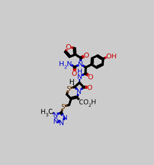 Cn1nnnc1SCC1=C(C(=O)O)N2C(=O)[C@H](NC(=O)C(c3ccc(O)cc3)N(C(N)=O)C(=O)c3ccoc3)[C@@H]2SC1